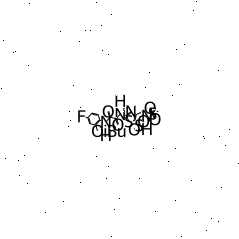 CC(C)COc1cc(F)ccc1NC(=O)C(=O)Nc1nc(CNS(C)(=O)=O)c(S(C)(=O)=O)s1